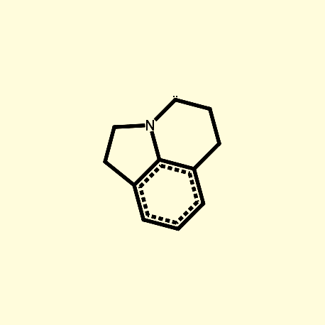 [C]1CCc2cccc3c2N1CC3